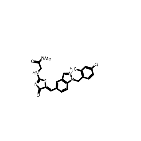 CNC(=O)CNC1=NC(=O)C(=Cc2ccc3c(cnn3Cc3ccc(Cl)cc3C(F)(F)F)c2)S1